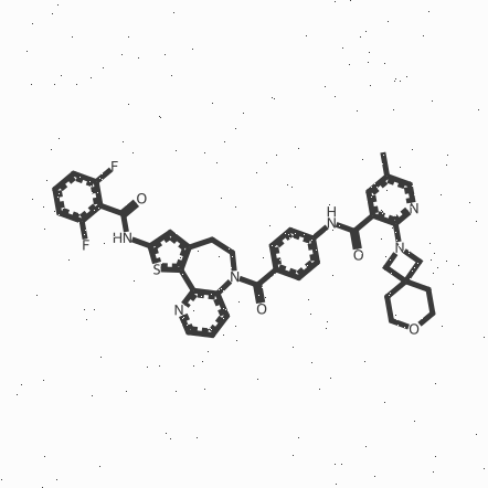 Cc1cnc(N2CC3(CCOCC3)C2)c(C(=O)Nc2ccc(C(=O)N3CCc4cc(NC(=O)c5c(F)cccc5F)sc4-c4ncccc43)cc2)c1